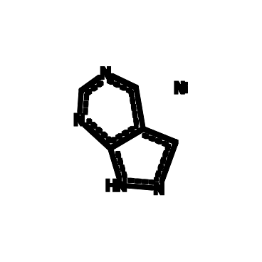 [N].c1ncc2cn[nH]c2n1